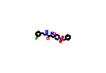 O=C(NCCc1cccc(F)c1)C1=NOC2(CCN(S(=O)(=O)Cc3ccccc3)CC2)C1